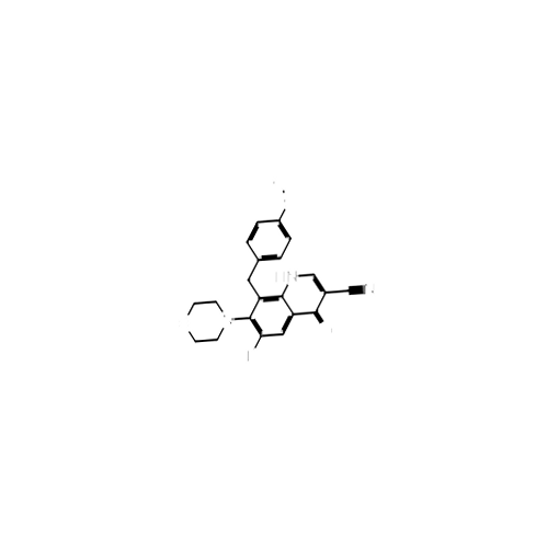 COc1ccc(Cc2c(N3CCOCC3)c(F)cc3c(=O)c(C#N)c[nH]c23)cc1